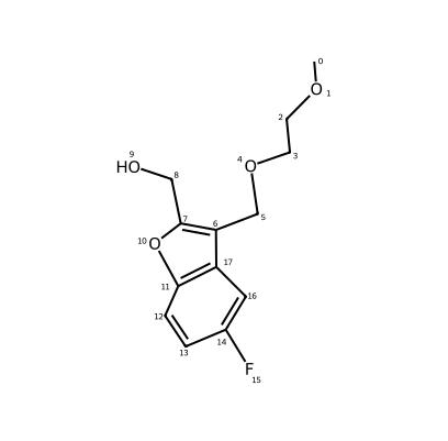 COCCOCc1c(CO)oc2ccc(F)cc12